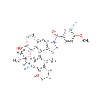 COc1ccc(C(=O)N2CCc3c2cc(C)c([C@H](OC(C)(C)C)C(=O)O)c3-c2cc(F)c3c(c2C)CCCO3)cc1F